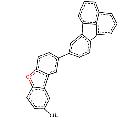 Cc1ccc2oc3ccc(-c4ccc5c(c4)-c4cccc6cccc-5c46)cc3c2c1